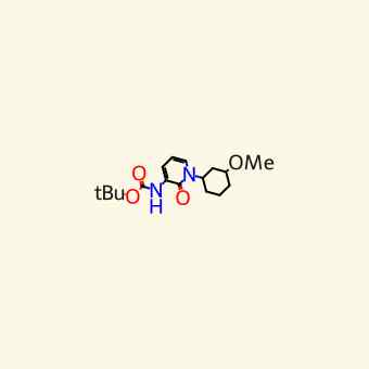 CO[C@H]1CCCC(n2cccc(NC(=O)OC(C)(C)C)c2=O)C1